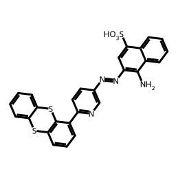 Nc1c(/N=N/c2ccc(-c3cccc4c3Sc3ccccc3S4)nc2)cc(S(=O)(=O)O)c2ccccc12